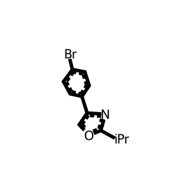 CC(C)c1nc(-c2ccc(Br)cc2)co1